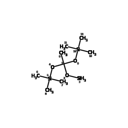 CC(O[SiH3])(O[Si](C)(C)C)O[Si](C)(C)C